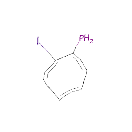 Pc1ccccc1I